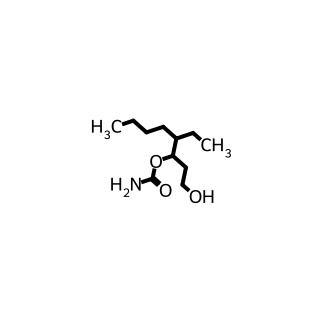 CCCCC(CC)C(CCO)OC(N)=O